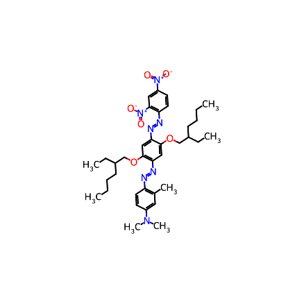 CCCCC(CC)COc1cc(/N=N/c2ccc([N+](=O)[O-])cc2[N+](=O)[O-])c(OCC(CC)CCCC)cc1/N=N/c1ccc(N(C)C)cc1C